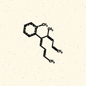 C=C\C=C(C)/C(=C\C=C\C)c1cccc[n+]1C